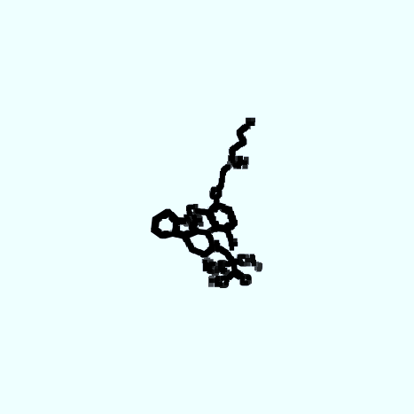 C[C@@H]1Cc2c([nH]c3ccccc23)[C@@H](c2c(F)ccc(OCCNCCCF)c2Cl)N1CC(C)(C)C(=O)O